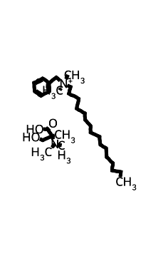 CCCCCCCCCCCCCCCC[N+](C)(C)Cc1ccccc1.CN(C)C(C)(CO)C(=O)O